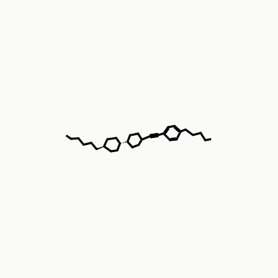 CCCCCC[C@H]1CC[C@H](C2CCC(C#Cc3ccc(CCCCC)cc3)CC2)CC1